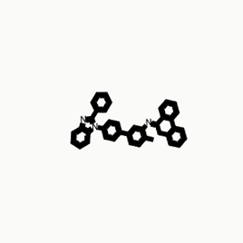 Cc1ccc(-c2ccc(-n3c(-c4ccccc4)nc4ccccc43)cc2)cc1/N=C1\Cc2ccccc2-c2ccccc21